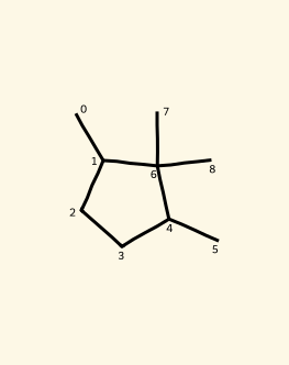 CC1CCC(C)C1(C)C